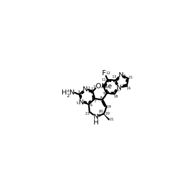 COc1nc(N)nc2c1C(c1cc(F)c3nccn3c1)=C[C@@H](C)NC2